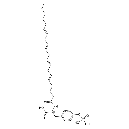 CCCCCC=CCC=CCC=CCC=CCCCC(=O)N[C@@H](Cc1ccc(OP(=O)(O)O)cc1)C(=O)O